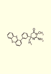 CN1C(=O)CC(C)(c2cccc(-c3cccc4c3Sc3ccccc3S4)c2)N=C1N